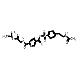 CC(=O)NCCc1ccc(S(=O)(=O)NC(=O)c2ccc(C(=O)NCC(=O)OC(C)C)nc2)cc1